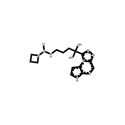 CCCC(CCC)(CCCN[S+]([O-])N1CCC1)c1nnc2cnc3[nH]ccc3n12